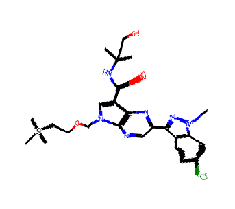 Cn1nc(-c2cnc3c(n2)c(C(=O)NC(C)(C)CO)cn3COCC[Si](C)(C)C)c2ccc(Cl)cc21